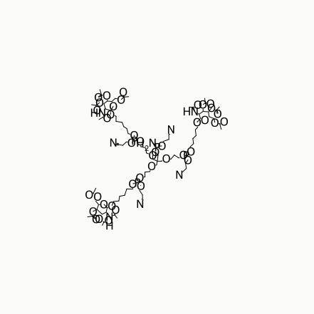 CC(=O)N[C@H]1C(OC(C)=O)[C@@H](OC(C)=O)C(COC(C)=O)O[C@H]1OCCCCCCOP(OCCC#N)OCCCOCC(COCCCOP(OCCC#N)OCCCCCCO[C@@H]1OC(COC(C)=O)[C@H](OC(C)=O)C(OC(C)=O)[C@@H]1NC(C)=O)(COCCCOP(OCCC#N)OCCCCCCO[C@@H]1OC(COC(C)=O)[C@H](OC(C)=O)C(OC(C)=O)[C@@H]1NC(C)=O)COP(N)OCCC#N